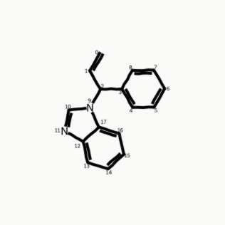 C=CC(c1ccccc1)n1cnc2ccccc21